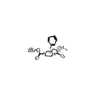 C[C@H]1C[C@]2(Cc3ccccc3)CN(C(=O)OC(C)(C)C)CCN2C1=O